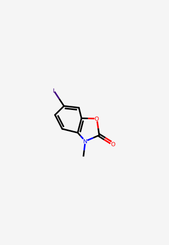 Cn1c(=O)oc2cc(I)ccc21